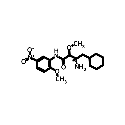 COc1ccc([N+](=O)[O-])cc1NC(=O)C(OC)[C@H](N)CC1CCCCC1